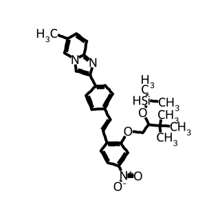 Cc1ccc2nc(-c3ccc(C=Cc4ccc([N+](=O)[O-])cc4OCC(O[SiH](C)C)C(C)(C)C)cc3)cn2c1